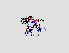 CSCC[C@H](NC(=O)[C@H](CCCNC(=N)N)NC(=O)[C@H](CCSC)NC(=O)[C@H](CC(=O)O)NC(=O)[C@H](CCC(N)=O)NC(C)=O)C(=O)N[C@@H](CCC(=O)O)C(N)=O